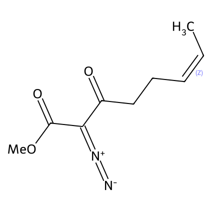 C/C=C\CCC(=O)C(=[N+]=[N-])C(=O)OC